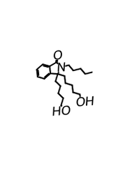 CCCCCN1C(=O)c2ccccc2C1(CCCCCO)CCCCCO